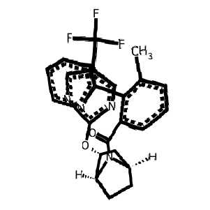 Cc1cccc(C(=O)N2[C@@H]3CC[C@H]2[C@H](Oc2ncc(C(F)(F)F)cn2)C3)c1-c1ccccn1